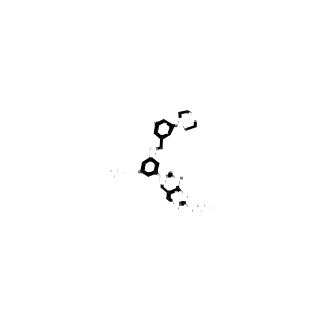 CNc1ncc2c(n1)N(C)C(=O)N(c1cc(NC(=O)c3cc(N4CCOCC4)cc(C(F)(F)F)c3)cc(OC)c1)C2